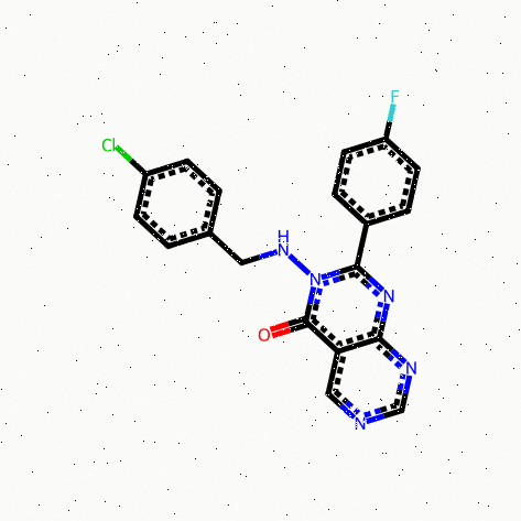 O=c1c2cncnc2nc(-c2ccc(F)cc2)n1NCc1ccc(Cl)cc1